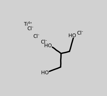 OCC(O)CO.[Cl-].[Cl-].[Cl-].[Cl-].[Ti+4]